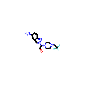 Nc1ccc2nn(C(C=O)N3CCN(CC(F)(F)F)CC3)cc2c1